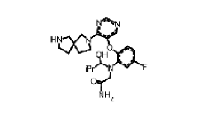 CC(C)C(O)N(CC(N)=O)c1cc(F)ccc1Oc1cncnc1N1CCC2(CCNC2)C1